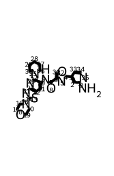 Nc1cc(-c2nc(C(=O)Nc3cc4sc(N5CCOCC5)nc4nc3N3CCCCC3)co2)ccn1